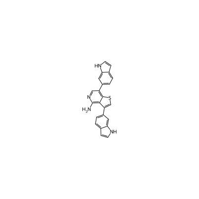 Nc1ncc(-c2ccc3cc[nH]c3c2)c2scc(-c3ccc4cc[nH]c4c3)c12